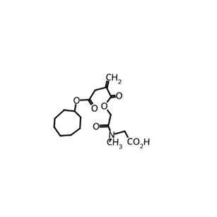 C=C(CC(=O)OC1CCCCCCC1)C(=O)OCC(=O)N(C)CC(=O)O